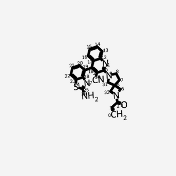 C=CC(=O)N1CC2(CCN(c3nc4ccccc4c(-c4cccc5sc(N)nc45)c3C#N)C2)C1